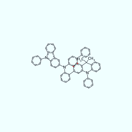 CC1(C)c2ccccc2N(c2ccccc2)c2cc(-c3ccccc3N(c3ccc(-c4ccccc4)cc3)c3ccc4c(c3)c3ccccc3n4-c3ccccc3)ccc21